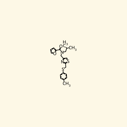 Cc1ccc(SCc2nc(CN(CC(C)C)C(=O)c3ccco3)cs2)cc1